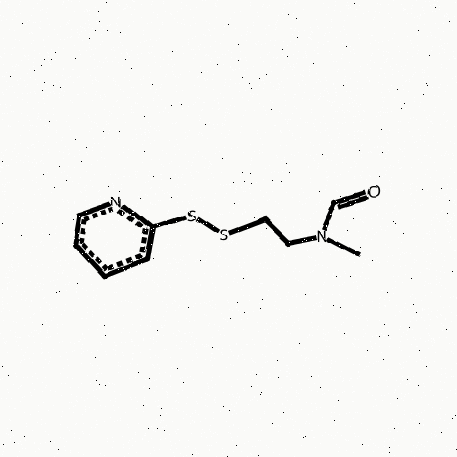 CN(C=O)CCSSc1ccccn1